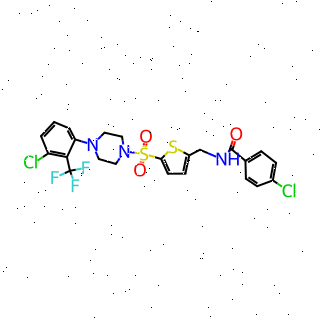 O=C(NCc1ccc(S(=O)(=O)N2CCN(c3cccc(Cl)c3C(F)(F)F)CC2)s1)c1ccc(Cl)cc1